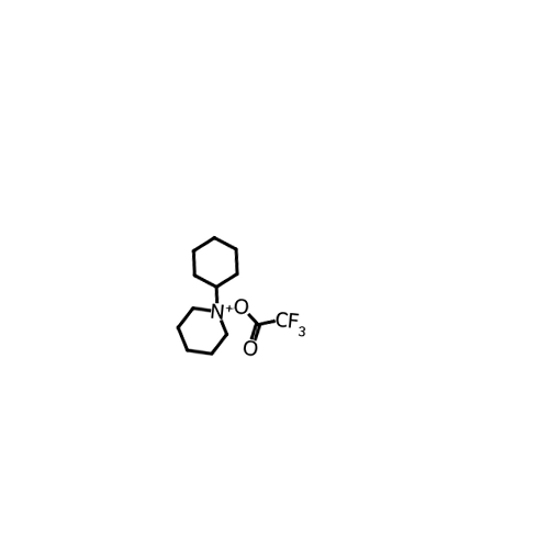 O=C(O[N+]1(C2CCCCC2)CCCCC1)C(F)(F)F